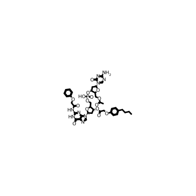 CCCCc1ccc(OCC(=O)O[C@@H]2C[C@H](n3cnc4c(=O)[nH]c(NC(=O)COc5ccccc5)nc43)OC2COP(=O)(O)O[C@@H]2C[C@H](n3cnc(N)nc3=O)OC2COC(C)=O)cc1